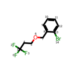 FC(F)(F)CCOCc1ccccc1Br